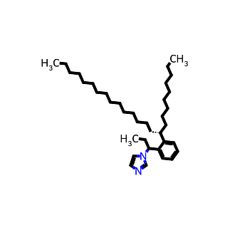 CCCCCCCCCCCCCCC[C@H](CCCCCCCCC)c1ccccc1C(CC)n1ccnc1